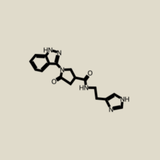 O=C(NCCc1c[nH]cn1)C1CC(=O)N(c2n[nH]c3ccccc23)C1